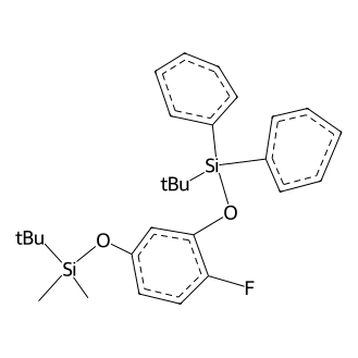 CC(C)(C)[Si](C)(C)Oc1ccc(F)c(O[Si](c2ccccc2)(c2ccccc2)C(C)(C)C)c1